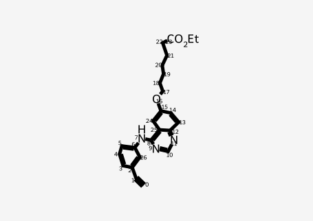 C#Cc1cccc(Nc2ncnc3ccc(OCCCCCCC(=O)OCC)cc23)c1